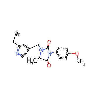 CC(C)Cc1cc(CN2C(=O)N(c3ccc(OC(F)(F)F)cc3)C(=O)C2C)ccn1